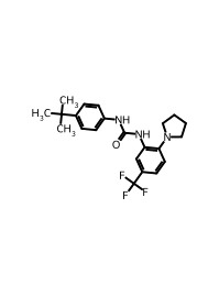 CC(C)(C)c1ccc(NC(=O)Nc2cc(C(F)(F)F)ccc2N2CCCC2)cc1